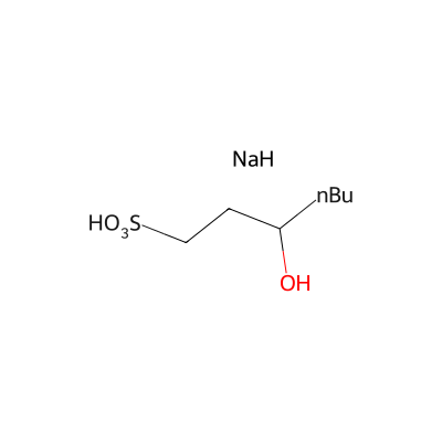 CCCCC(O)CCS(=O)(=O)O.[NaH]